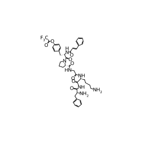 NCCCC[C@H](NC(=O)CNC(=O)[C@@H]1CCCN1C(=O)[C@H](Cc1ccc(OC(=O)C(F)(F)F)cc1)NC(=O)/C=C/c1ccccc1)C(=O)NC(=O)[C@@H](N)Cc1ccccc1